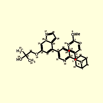 COc1ncc(CN2C3CC2CN(c2ccc(-c4cc(OCC(C)(C)O)cn5nccc45)cn2)C3)cn1